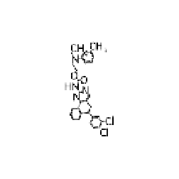 CCN(CCOC(=O)Nc1ncc2c(n1)-c1ccccc1C(c1ccc(Cl)c(Cl)c1)C2)c1cccc(C)c1